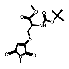 COC(=O)[C@H](CSC1=CC(=O)N(C)C1=O)NC(=O)OC(C)(C)C